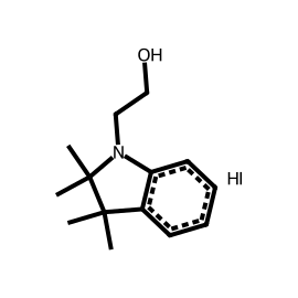 CC1(C)c2ccccc2N(CCO)C1(C)C.I